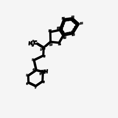 CN(CCC1CCCCN1)C1Cc2ccccc2C1